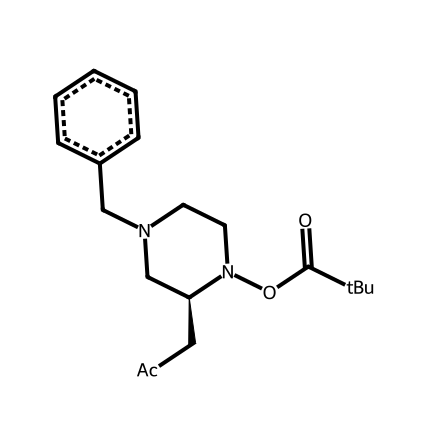 CC(=O)C[C@H]1CN(Cc2ccccc2)CCN1OC(=O)C(C)(C)C